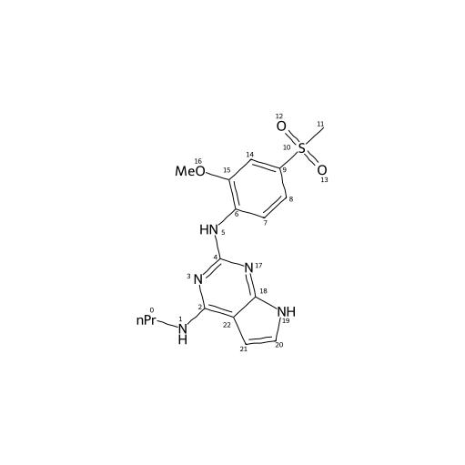 CCCNc1nc(Nc2ccc(S(C)(=O)=O)cc2OC)nc2[nH]ccc12